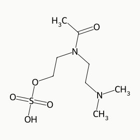 CC(=O)N(CCOS(=O)(=O)O)CCN(C)C